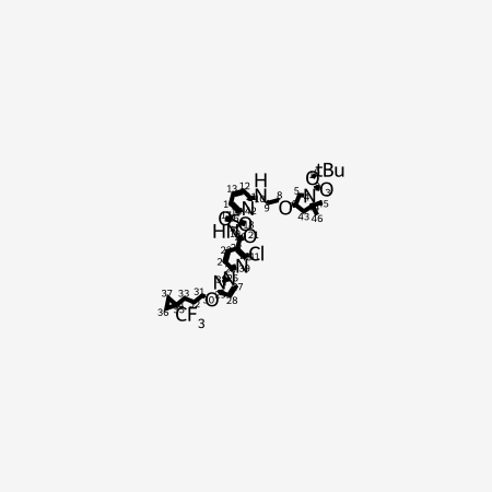 CC(C)(C)OC(=O)N1CC(OCCNc2cccc(S(=O)(=O)NC(=O)c3ccc(-n4ccc(OCCCC5(C(F)(F)F)CC5)n4)nc3Cl)n2)CC1(C)C